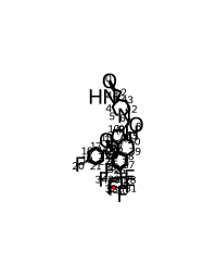 O=C1CC2(CCN(C(=O)[C@@H]3CC[C@@]4(S(=O)(=O)c5ccc(F)cc5)c5ccc(C(F)(C(F)(F)F)C(F)(F)F)cc5CC[C@@H]34)CC2)N1